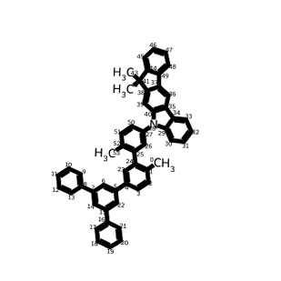 Cc1ccc(-c2cc(-c3ccccc3)cc(-c3ccccc3)c2)cc1-c1cc(-n2c3ccccc3c3cc4c(cc32)C(C)(C)c2ccccc2-4)ccc1C